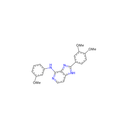 COc1cccc(Nc2nccc3[nH]c(-c4ccc(OC)c(OC)c4)nc23)c1